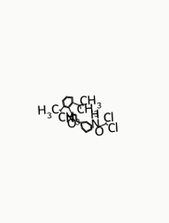 CC(C)c1cccc(C(C)C)c1-c1cc(-c2cccc(NC(=O)C(Cl)Cl)c2)on1